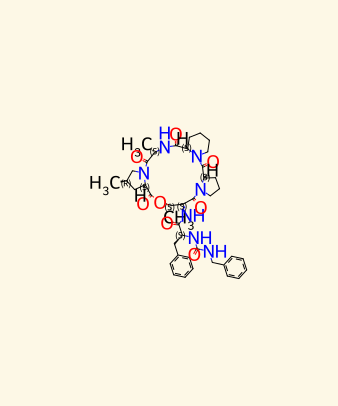 C[C@@H]1C[C@H]2C(=O)O[C@@H](C)[C@H](NC(=O)[C@H](Cc3ccccc3)NC(=O)NCc3ccccc3)C(=O)N3CCC[C@H]3C(=O)N3CCCC[C@H]3C(=O)N[C@@H](C)C(=O)N2C1